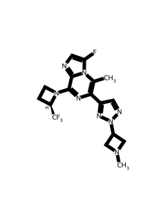 Cc1c(-c2cnn(C3CN(C)C3)n2)nc(N2CC[C@@H]2C(F)(F)F)c2ncc(F)n12